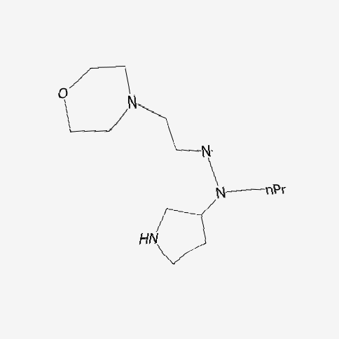 CCCN([N]CCN1CCOCC1)C1CCNC1